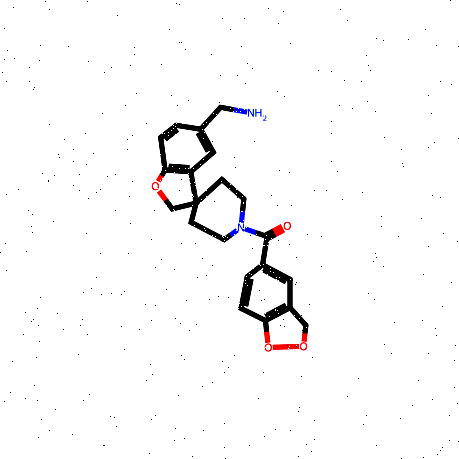 NCc1ccc2c(c1)C1(CCN(C(=O)c3ccc4c(c3)COO4)CC1)CO2